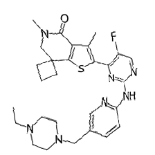 CCN1CCN(Cc2ccc(Nc3ncc(F)c(-c4sc5c(c4C)C(=O)N(C)CC54CCC4)n3)nc2)CC1